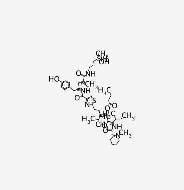 CCCC(=O)OCN(C(=O)[C@@H](NC(=O)[C@H]1CCCCN1C)C(C)CC)[C@H](CCc1nc(C(=O)N[C@@H](Cc2ccc(O)cc2)C[C@H](C)C(=O)NCCC[SiH](C)O)cs1)C(C)C